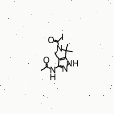 CC(=O)Nc1n[nH]c2c1CN(C(=O)I)C2(C)C